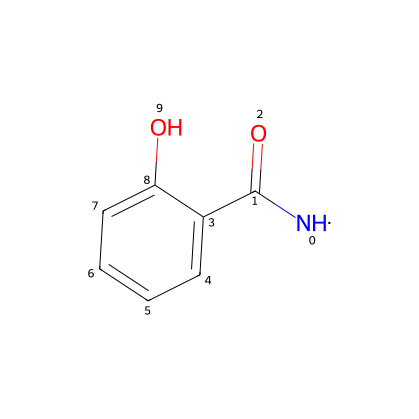 [NH]C(=O)c1ccccc1O